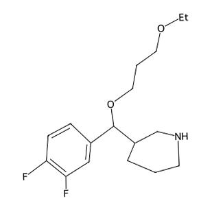 CCOCCCOC(c1ccc(F)c(F)c1)C1CCCNC1